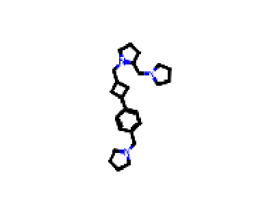 c1cc(C2CC(CN3CCCC3CN3CCCC3)C2)ccc1CN1CCCC1